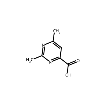 Cc1cc(C(=O)O)nc(C)n1